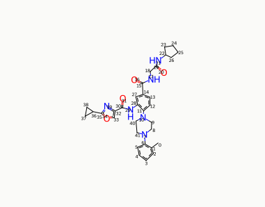 Cc1ccccc1N1CCN(c2ccc(C(=O)NCC(=O)NC3CCCC3)cc2NC(=O)c2coc(C3CC3)n2)CC1